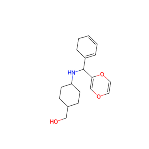 OCC1CCC(NC(C2=CC=CCC2)C2=COC=CO2)CC1